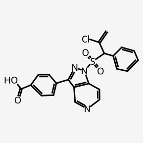 C=C(Cl)C(c1ccccc1)S(=O)(=O)n1nc(-c2ccc(C(=O)O)cc2)c2cnccc21